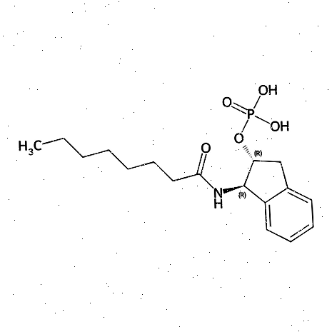 CCCCCCCC(=O)N[C@@H]1c2ccccc2C[C@H]1OP(=O)(O)O